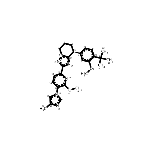 COc1cc([C@@H]2CCCn3nc(-c4ccc(-n5cnc(C)c5)c(OC)n4)nc32)ccc1C(C)(C)C